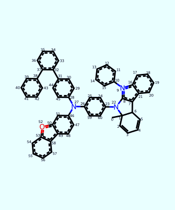 CC12C=CC=CC1c1c(n(-c3ccccc3)c3ccccc13)N2c1ccc(N(c2ccc(-c3ccccc3-c3ccccc3)cc2)c2ccc3c(c2)oc2ccccc23)cc1